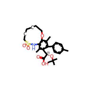 Cc1ccc(-c2c(C)c3c(c(C)c2[C@H](OC(C)(C)C)C(=O)O)NS(=O)(=O)CCCCCCO3)cc1